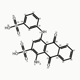 Nc1c(S(=O)(=O)O)cc(Nc2cccc(S(=O)(=O)O)c2)c2c1C(=O)c1ccccc1C2=O